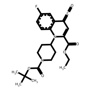 CCOC(=O)C1=CC(=C=O)c2cc(F)ccc2N1C1CCN(C(=O)OC(C)(C)C)CC1